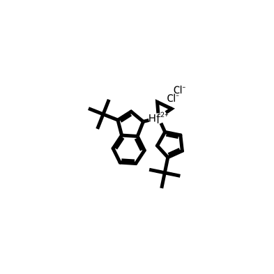 CC(C)(C)C1=CC=[C]([Hf+2]2([CH]3C=C(C(C)(C)C)c4ccccc43)[CH2][CH2]2)C1.[Cl-].[Cl-]